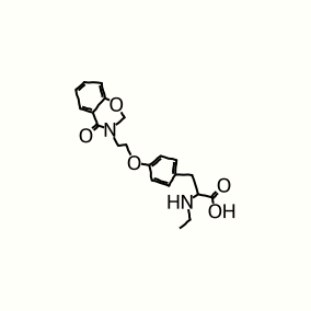 CCNC(Cc1ccc(OCCN2COc3ccccc3C2=O)cc1)C(=O)O